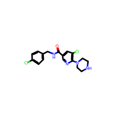 O=C(NCc1ccc(Cl)cc1)c1cnc(N2CCNCC2)c(Cl)c1